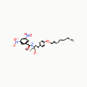 CCCCCCCOc1ccc(CCC(C)(CO)NC(=O)c2cc([N+](=O)[O-])cc([N+](=O)[O-])c2)cc1